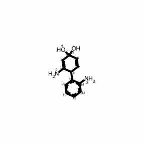 NC1=CC(O)(O)C=CC1c1ccccc1N